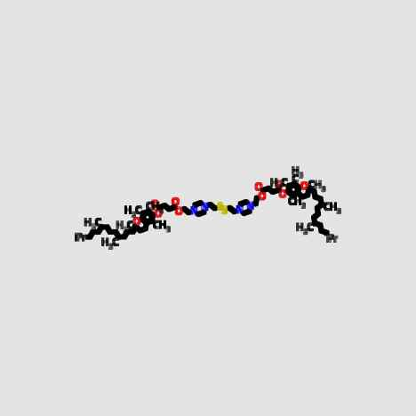 Cc1c(C)c2c(c(C)c1OC(=O)CCC(=O)OCCN1CCN(CCSSCCN3CCN(CCOC(=O)CCC(=O)Oc4c(C)c(C)c5c(c4C)CCC(C)(CCCC(C)CCCC(C)CCCC(C)C)O5)CC3)CC1)CCC(C)(CCCC(C)CCCC(C)CCCC(C)C)O2